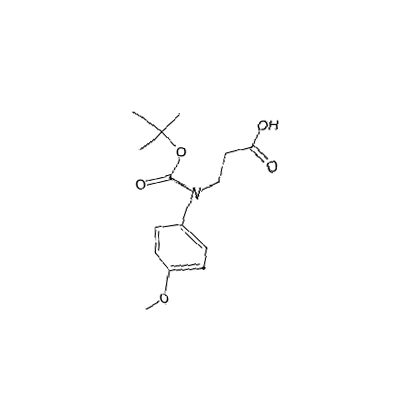 COc1ccc(N(CCC(=O)O)C(=O)OC(C)(C)C)cc1